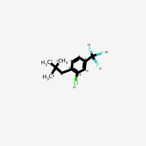 CC(C)(C)Cc1ccc(C(F)(F)F)cc1Cl